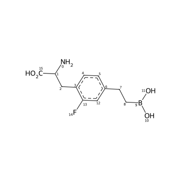 NC(Cc1ccc(CCB(O)O)cc1F)C(=O)O